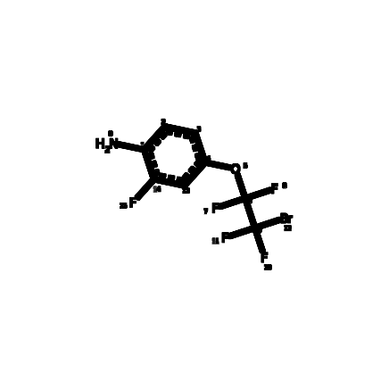 Nc1ccc(OC(F)(F)C(F)(F)Br)cc1F